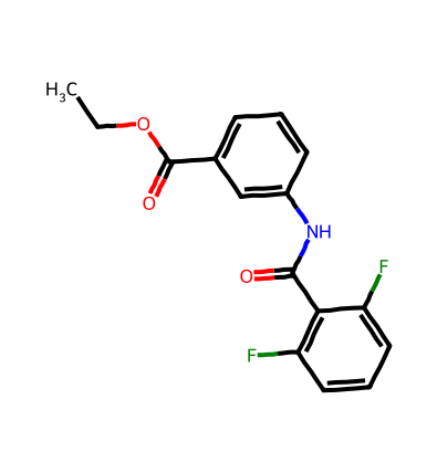 CCOC(=O)c1cccc(NC(=O)c2c(F)cccc2F)c1